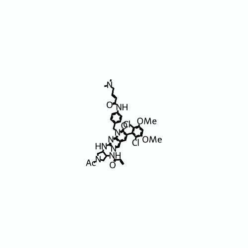 C=CC(=O)NC1CN(C(C)=O)CC1Nc1ncc2cc(-c3c(Cl)c(OC)cc(OC)c3Cl)c(=O)n(Cc3ccc(NC(=O)/C=C/CN(C)C)cc3)c2n1